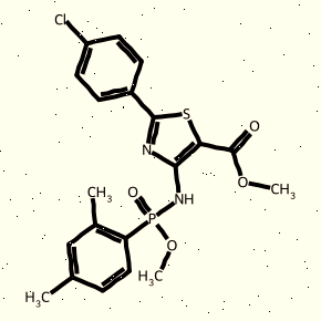 COC(=O)c1sc(-c2ccc(Cl)cc2)nc1NP(=O)(OC)c1ccc(C)cc1C